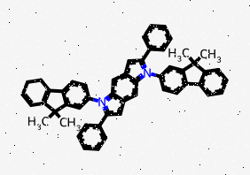 CC1(C)C2=C(CCC=C2)c2ccc(-n3c(-c4ccccc4)cc4cc5c(cc(-c6ccccc6)n5-c5ccc6c(c5)C(C)(C)c5ccccc5-6)cc43)cc21